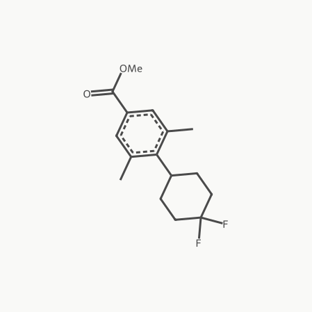 COC(=O)c1cc(C)c(C2CCC(F)(F)CC2)c(C)c1